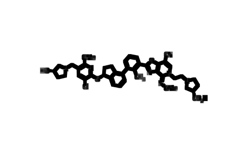 CO/N=c1/c2nc(-c3cccc(-c4cccc5c4CC[C@@H]5Oc4nc(OC)c(CN5CC[C@@H](O)C5)cc4Cl)c3C)oc2c(C#N)cn1CCN1CC[C@@H](C(=O)O)C1